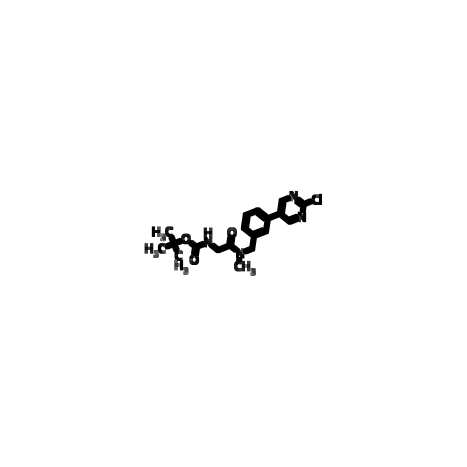 CN(Cc1cccc(-c2cnc(Cl)nc2)c1)C(=O)CNC(=O)OC(C)(C)C